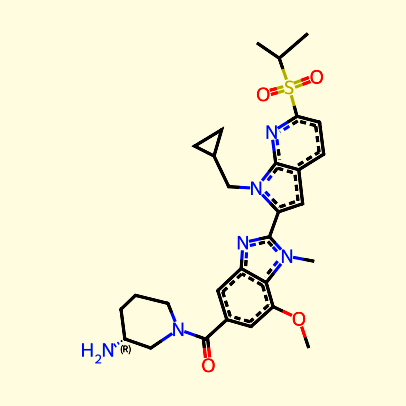 COc1cc(C(=O)N2CCC[C@@H](N)C2)cc2nc(-c3cc4ccc(S(=O)(=O)C(C)C)nc4n3CC3CC3)n(C)c12